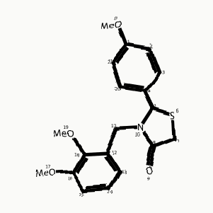 COc1ccc(C2SCC(=O)N2Cc2cccc(OC)c2OC)cc1